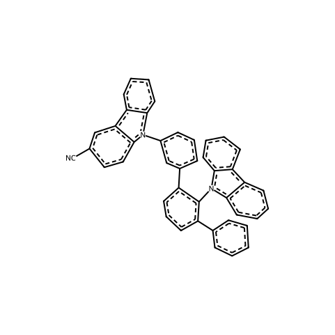 N#Cc1ccc2c(c1)c1ccccc1n2-c1cccc(-c2cccc(-c3ccccc3)c2-n2c3ccccc3c3ccccc32)c1